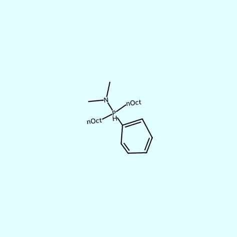 CCCCCCCC[PH](CCCCCCCC)(c1ccccc1)N(C)C